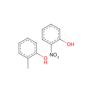 Cc1ccccc1O.O=[N+]([O-])c1ccccc1O